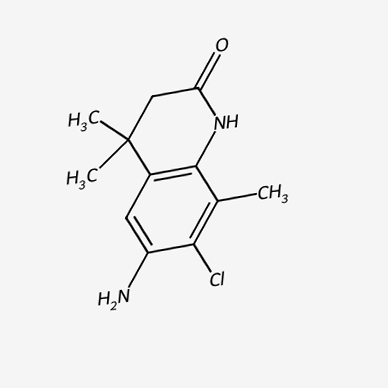 Cc1c(Cl)c(N)cc2c1NC(=O)CC2(C)C